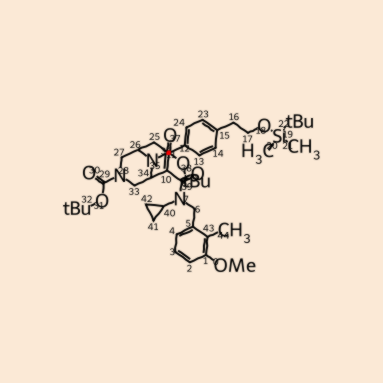 COc1cccc(CN(C(=O)C2=C(c3ccc(CCO[Si](C)(C)C(C)(C)C)cc3)CC3CN(C(=O)OC(C)(C)C)CC2N3C(=O)OC(C)(C)C)C2CC2)c1C